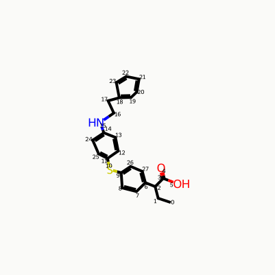 CCC(C(=O)O)c1ccc(Sc2ccc(NCCc3ccccc3)cc2)cc1